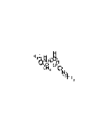 CCc1cccc(CC)c1NC(=O)N1Cc2[nH]nc(OC(=O)c3ccc(N4CCN(C)CC4)cc3)c2C1